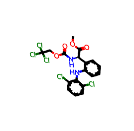 COC(=O)[C@H](NC(=O)OCC(Cl)(Cl)Cl)c1ccccc1Nc1c(Cl)cccc1Cl